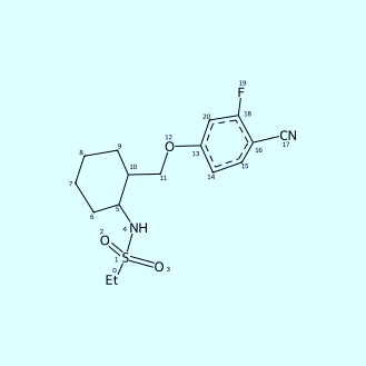 CCS(=O)(=O)NC1CCCCC1COc1ccc(C#N)c(F)c1